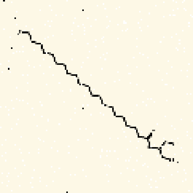 CCCCCCCCCCCCCCCCCCCCCC(=O)NC(CC)CO